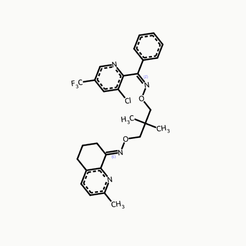 Cc1ccc2c(n1)/C(=N/OCC(C)(C)CO/N=C(/c1ccccc1)c1ncc(C(F)(F)F)cc1Cl)CCC2